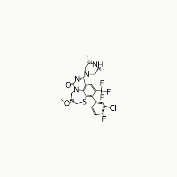 CO[C@@H]1CSc2c(-c3ccc(F)c(Cl)c3)c(C(F)(F)F)cc3c(N4C[C@@H](C)N[C@@H](C)C4)nc(=O)n(c23)C1